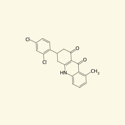 Cc1cccc2[nH]c3c(c(=O)c12)C(=O)CC(c1ccc(Cl)cc1Cl)C3